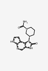 NC(=O)N1CCC[C@@H](n2c(=O)[nH]c3cnc4[nH]ccc4c32)C1